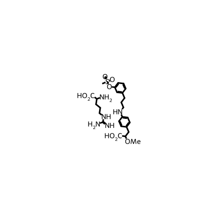 COC(Cc1ccc(NCCCc2cccc(OS(C)(=O)=O)c2)cc1)C(=O)O.N=C(N)NCCCC(N)C(=O)O